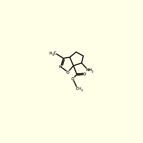 COC(=O)C12ON=C(C)C1CCC2N